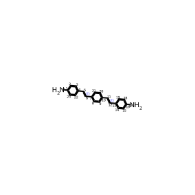 Nc1ccc(/C=C/c2ccc(/C=C/c3ccc(N)cc3)cc2)cc1